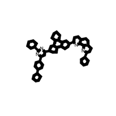 c1ccc(-c2ccc(-c3cc(-c4ccc5c6ccc(-c7ccc8ccc9ccc(-c%10ccccc%10)nc9c8n7)cc6c6ccccc6c5c4)nc(-c4ccccc4)n3)cc2)cc1